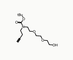 C#CCCN(CCOCCOCCO)C(=O)OC(C)(C)C